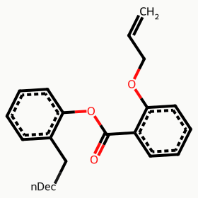 C=CCOc1ccccc1C(=O)Oc1ccccc1CCCCCCCCCCC